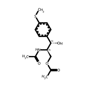 CSc1ccc([C@H](O)[C@@H](COC(C)=O)NC(C)=O)cc1